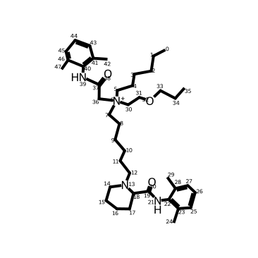 CCCCCC[N+](CCCCCCN1CCCCC1C(=O)Nc1c(C)cccc1C)(CCOCCC)CC(=O)Nc1c(C)cccc1C